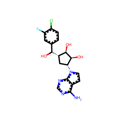 Nc1ncnc2c1ccn2[C@@H]1C[C@H](C(O)c2ccc(Cl)c(F)c2)[C@@H](O)[C@H]1O